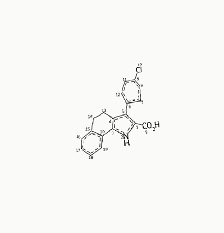 O=C(O)c1[nH]c2c(c1-c1ccc(Cl)cc1)CCc1ccccc1-2